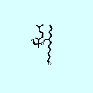 CCCCC(CCCCCC=O)COC(C)(C=O)C(C)CCCC(C)C